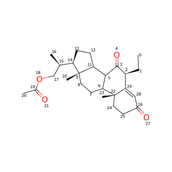 CC[C@@H]1C(=O)C2C(CC[C@@]3(C)C2CC[C@@H]3[C@H](C)COC(C)=O)[C@@]2(C)CCC(=O)C=C12